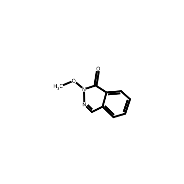 COn1ncc2ccccc2c1=O